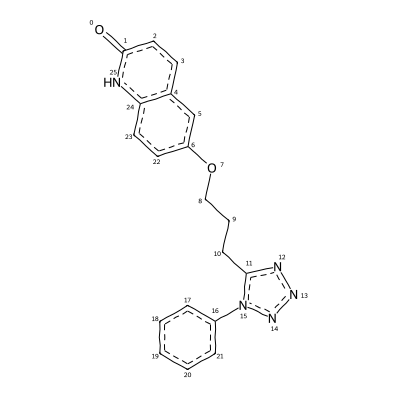 O=c1ccc2cc(OCCCc3nnnn3-c3ccccc3)ccc2[nH]1